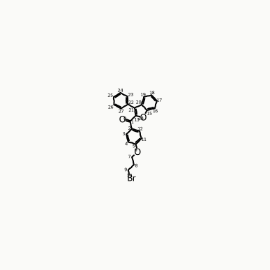 O=C(c1ccc(OCCCBr)cc1)c1oc2ccccc2c1-c1ccccc1